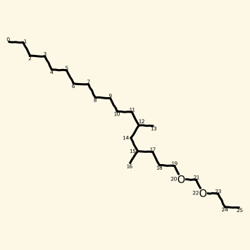 CCCCCCCCCCCCC(C)CC(C)CCCOCOCCC